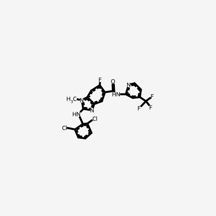 Cn1c(Nc2c(Cl)cccc2Cl)nc2cc(C(=O)Nc3cc(C(F)(F)F)ccn3)c(F)cc21